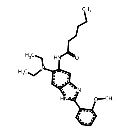 CCCCCC(=O)Nc1cc2nc(-c3ccccc3OC)[nH]c2cc1N(CC)CC